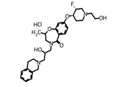 CC1CN(CC(O)CN2CCc3ccccc3C2)C(=O)c2ccc(O[C@@H]3CCN(CCO)C[C@H]3F)cc2O1.Cl